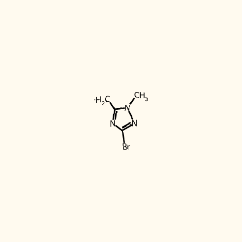 [CH2]c1nc(Br)nn1C